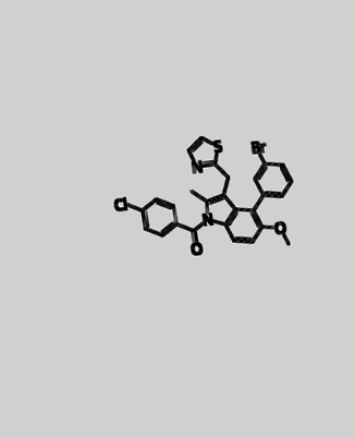 COc1ccc2c(c(Cc3nccs3)c(C)n2C(=O)c2ccc(Cl)cc2)c1-c1cccc(Br)c1